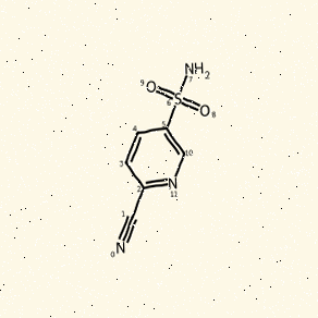 N#Cc1ccc(S(N)(=O)=O)cn1